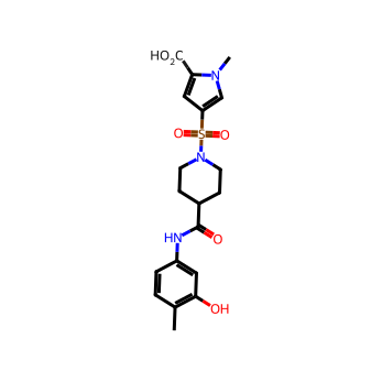 Cc1ccc(NC(=O)C2CCN(S(=O)(=O)c3cc(C(=O)O)n(C)c3)CC2)cc1O